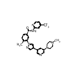 Cc1ccc(C(=O)Nc2cc(C(F)(F)F)ccn2)cc1-n1cc(-c2cncc(N3CCN(C)CC3)c2)cn1